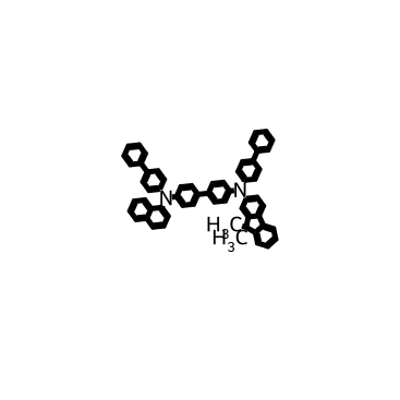 CC1(C)c2ccccc2-c2ccc(N(c3ccc(-c4ccccc4)cc3)c3ccc(-c4ccc(N(c5ccc(-c6ccccc6)cc5)c5cccc6ccccc56)cc4)cc3)cc21